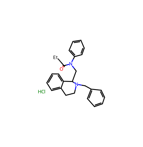 CCC(=O)N(CC1c2ccccc2CCN1Cc1ccccc1)c1ccccc1.Cl